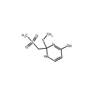 CSC1(CS(C)(=O)=O)N=C(O)C=CN1